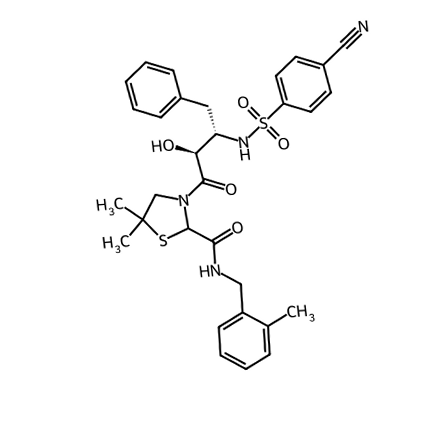 Cc1ccccc1CNC(=O)C1SC(C)(C)CN1C(=O)[C@@H](O)[C@H](Cc1ccccc1)NS(=O)(=O)c1ccc(C#N)cc1